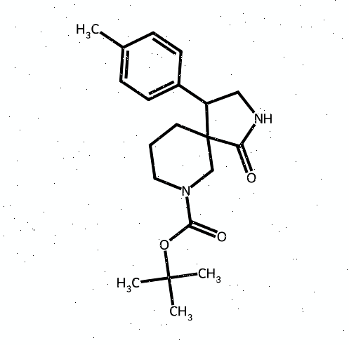 Cc1ccc(C2CNC(=O)C23CCCN(C(=O)OC(C)(C)C)C3)cc1